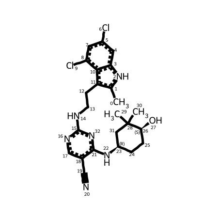 Cc1[nH]c2cc(Cl)cc(Cl)c2c1CCNc1ncc(C#N)c(N[C@@H]2CC[C@H](O)C(C)(C)C2)n1